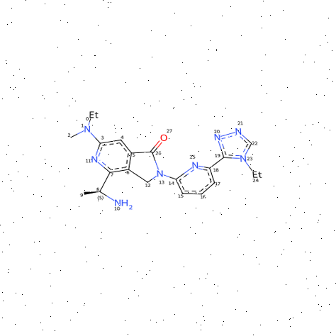 CCN(C)c1cc2c(c([C@H](C)N)n1)CN(c1cccc(-c3nncn3CC)n1)C2=O